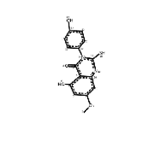 COc1cc(O)c2c(=O)n(-c3ccc(O)cc3)c(S)nc2c1